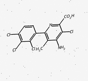 Cc1c(-c2ccc(Cl)c(Cl)c2Cl)nc(C(=O)O)c(Cl)c1N